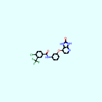 O=C(Nc1cccc(Oc2ccnc3[nH]c(=O)[nH]c23)c1)c1ccc(Cl)c(C(F)(F)F)c1